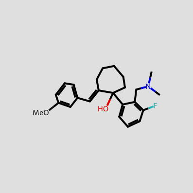 COc1cccc(C=C2CCCCCC2(O)c2cccc(F)c2CN(C)C)c1